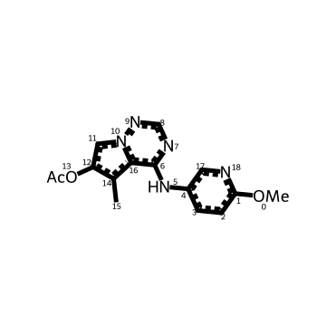 COc1ccc(Nc2ncnn3cc(OC(C)=O)c(C)c23)cn1